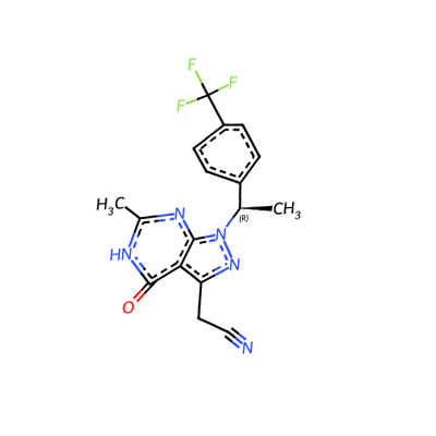 Cc1nc2c(c(CC#N)nn2[C@H](C)c2ccc(C(F)(F)F)cc2)c(=O)[nH]1